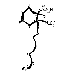 CC(C)CCCCCC1(C(=O)O)CC=CCC1(C)C(=O)O